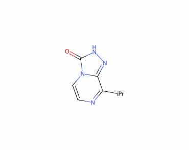 CC(C)c1nccn2c(=O)[nH]nc12